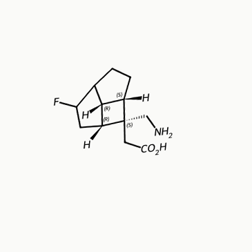 NC[C@]1(CC(=O)O)[C@@H]2CC(F)C3CC[C@H]1[C@@H]32